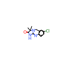 CC1(C)C(=O)NC2=Nc3ccc(Cl)cc3CN21